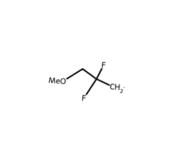 [CH2]C(F)(F)COC